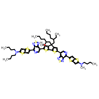 CCCCC(CC)CC1(CC(CC)CCCC)c2cc(-c3cnc(-c4cc5sc(N(C)CCCC)cc5s4)c4nsnc34)sc2-c2sc(-c3cnc(-c4cc5sc(N(CCCC)CCCC)cc5s4)c4nsnc34)cc21